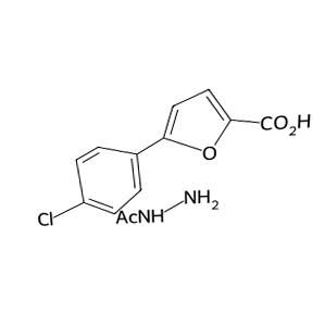 CC(=O)NN.O=C(O)c1ccc(-c2ccc(Cl)cc2)o1